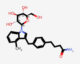 Cc1cccc2c1c(Cc1ccc(CCCC(N)=O)cc1)cn2[C@@H]1O[C@H](CO)[C@@H](O)[C@H](O)[C@H]1O